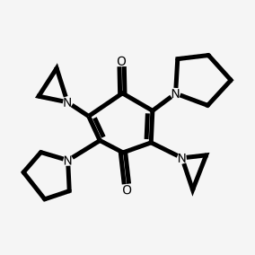 O=C1C(N2CCCC2)=C(N2CC2)C(=O)C(N2CCCC2)=C1N1CC1